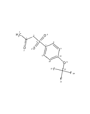 CC(=O)CS(=O)(=O)c1ccc(OC(F)(F)F)cc1